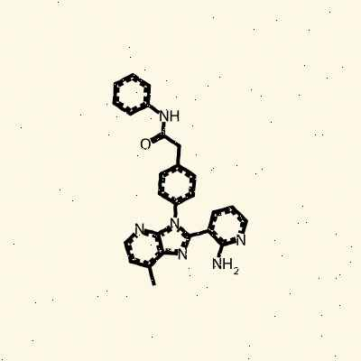 Cc1ccnc2c1nc(-c1cccnc1N)n2-c1ccc(CC(=O)Nc2ccccc2)cc1